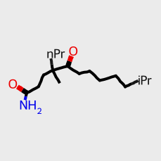 CCCC(C)(CCC(N)=O)C(=O)CCCCCC(C)C